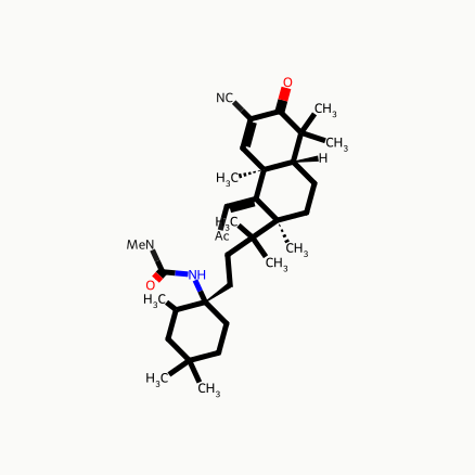 CNC(=O)N[C@]1(CCC(C)(C)[C@]2(C)CC[C@H]3C(C)(C)C(=O)C(C#N)=C[C@]3(C)/C2=C/C(C)=O)CCC(C)(C)CC1C